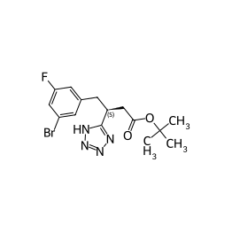 CC(C)(C)OC(=O)C[C@H](Cc1cc(F)cc(Br)c1)c1nnn[nH]1